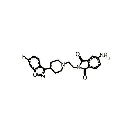 Nc1ccc2c(c1)C(=O)N(CCN1CCC(c3noc4cc(F)ccc34)CC1)C2=O